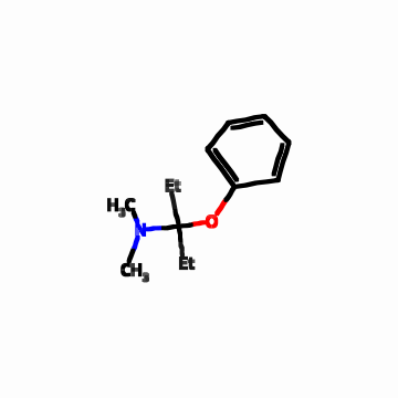 CCC(CC)(Oc1ccccc1)N(C)C